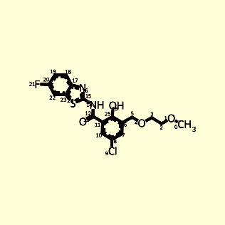 COCCOCc1cc(Cl)cc(C(=O)Nc2nc3ccc(F)cc3s2)c1O